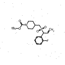 C=CC(c1ccccc1F)S(=O)(=O)CC1CCN(C(=O)OC(C)(C)C)CC1